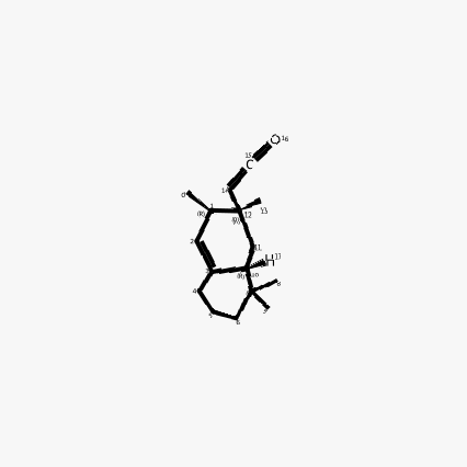 C[C@@H]1C=C2CCCC(C)(C)[C@H]2C[C@@]1(C)C=C=O